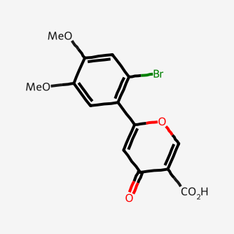 COc1cc(Br)c(-c2cc(=O)c(C(=O)O)co2)cc1OC